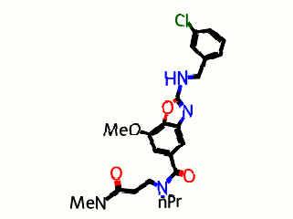 CCCN(CCC(=O)NC)C(=O)c1cc(OC)c2oc(NCc3cccc(Cl)c3)nc2c1